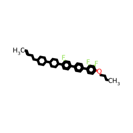 C/C=C/CCC1CCC(C2CCC(c3ccc(-c4ccc(-c5ccc(OCCCC)c(F)c5F)cc4)cc3F)CC2)CC1